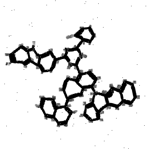 c1ccc(-c2nc(-c3ccc4c(c3)sc3ccccc34)nc(-c3ccc(-n4c5ccccc5c5cc6ccccc6cc54)c4cc(-c5cccc6ccccc56)ccc34)n2)cc1